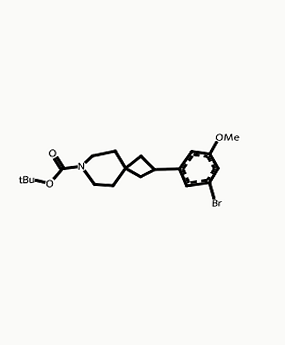 COc1cc(Br)cc(C2CC3(CCN(C(=O)OC(C)(C)C)CC3)C2)c1